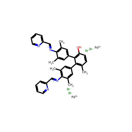 Cc1cc(-c2c(C)ccc(O)c2-c2cc(C)c(/N=C/c3ccccn3)c(C)c2)cc(C)c1/N=C/c1ccccn1.[Br-].[Br-].[Br-].[Br-].[Pd+2].[Pd+2]